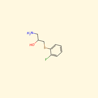 NCC(O)CSc1ccccc1F